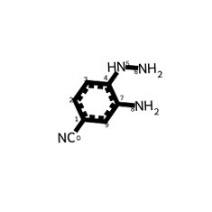 N#Cc1ccc(NN)c(N)c1